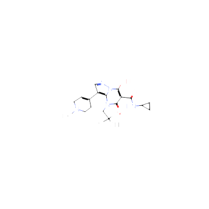 CN1CC=C(c2cnn3c(O)c(C(=O)NC4CC4)c(=O)n(CC(C)(C)C)c23)CC1